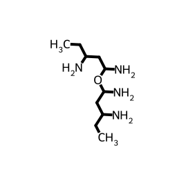 CCC(N)CC(N)OC(N)CC(N)CC